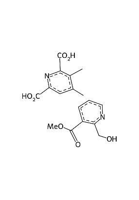 COC(=O)c1cccnc1CO.Cc1cc(C(=O)O)nc(C(=O)O)c1C